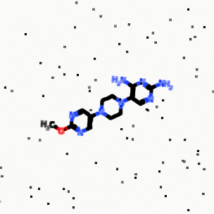 COc1ncc(N2CCN(c3cnc(N)nc3N)CC2)cn1